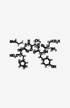 CSCC[C@H](NC(=O)[C@H](C)NC(=O)[C@H](Cc1ccc(O)cc1)NC(=O)[C@@H](N)CC(=O)O)C(=O)N[C@@H](Cc1c[nH]cn1)C(=O)O